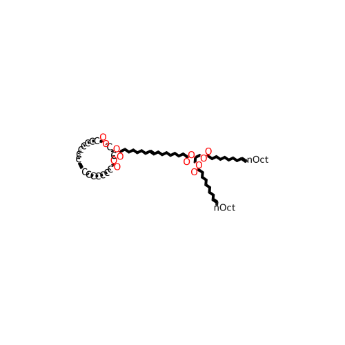 CCCCCCCC/C=C/CCCCCCCC(=O)OCC(COC(=O)CCCCCCC/C=C/CCCCCCCC)OC(=O)CCCCCCC/C=C/CCCCCCC(=O)OC1COC(=O)CCCCCCC/C=C\CCCCCCCC(=O)OC1